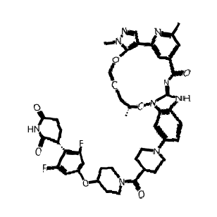 Cc1cc2cc(n1)-c1cnn(C)c1OCCC[C@@H](C)CN1/C(=N/C2=O)Nc2ccc(N3CCC(C(=O)N4CCC(Oc5cc(F)c([C@H]6CCC(=O)NC6=O)c(F)c5)CC4)CC3)cc21